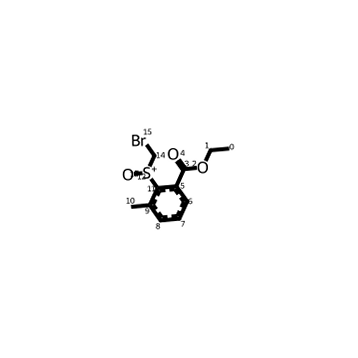 CCOC(=O)c1cccc(C)c1[S+]([O-])CBr